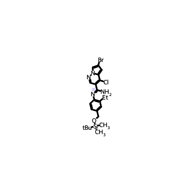 CCc1cc(CO[Si](C)(C)C(C)(C)C)ccc1/N=C(\N)c1cnn2cc(Br)cc2c1Cl